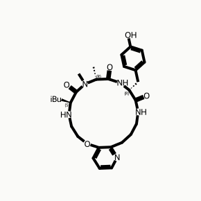 CCC(C)[C@@H]1NCCOc2cccnc2CCCNC(=O)[C@@H](Cc2ccc(O)cc2)NC(=O)[C@@H](C)N(C)C1=O